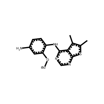 CCC(C)Oc1cc(N)ccc1Nc1ncnc2sc(C)c(C)c12